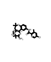 Cc1cc(Cl)cnc1C(=O)Nc1ccc2c(c1)[C@@]1(C)N=C(N)C(C)(C)S(=O)(=O)[C@@H]1CC(C)(C)O2